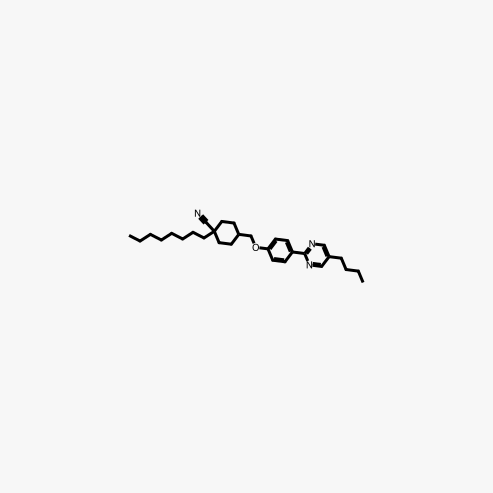 CCCCCCCCC1(C#N)CCC(COc2ccc(-c3ncc(CCCC)cn3)cc2)CC1